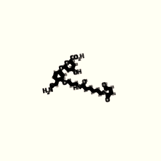 NOCc1ccc(OC2CC(O)CC(C(=O)O)O2)cc1OCCCNC(=O)CCCCCN1C(=O)C=CC1=O